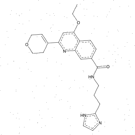 CCOc1cc(C2=CCOCC2)nc2cc(C(=O)NCCCc3ncc[nH]3)ccc12